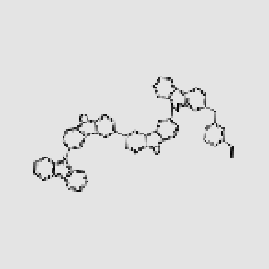 C=Cc1cccc(Cc2ccc3c4ccccc4n(-c4ccc5oc6ccc(-c7ccc8oc9ccc(-n%10c%11ccccc%11c%11ccccc%11%10)cc9c8c7)cc6c5c4)c3c2)c1